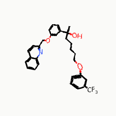 CC(O)(CCCCCOc1cccc(C(F)(F)F)c1)c1cccc(OCc2ccc3ccccc3n2)c1